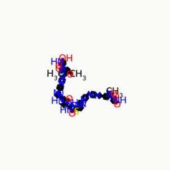 COc1ccc2c(c1CCN1CCN(c3ccc(-c4nccc(-c5cc6c([nH]5)C5(CC5)C(C[C@@H]5CNc7c(sc8ccc9nc(N%10CCC(CN%11CCC(N%12CC(c%13ccc%14c(c%13)n(C)c(=O)n%14C%13CCC(=O)NC%13=O)C%12)CC%11)CC%10)ccc9c78)C(=O)N5)NC6=O)n4)cc3)CC1)n(C)c(=O)n2C1CCC(O)NC1=O